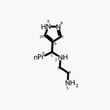 CCCC(NCCN)c1cn[nH]c1